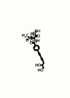 C[S+]([O-])C(C)(C)[C@H](NC(=O)c1ccc(C#CC#CCC(O)CO)cc1)C(=O)NO